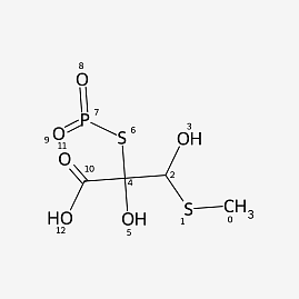 CSC(O)C(O)(SP(=O)=O)C(=O)O